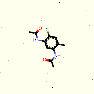 CC(=O)Nc1cc(NC(C)=O)c(Cl)cc1C